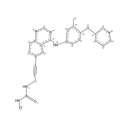 CCNC(=O)NCC#Cc1ccc2ncnc(Nc3ccc(Oc4cccnc4)c(C)c3)c2c1